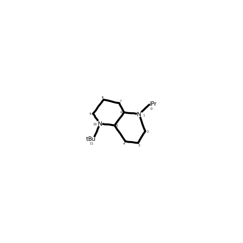 CC(C)N1CCCC2C1CCCN2C(C)(C)C